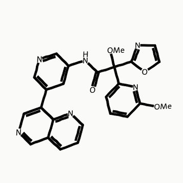 COc1cccc(C(OC)(C(=O)Nc2cncc(-c3cncc4cccnc34)c2)c2ncco2)n1